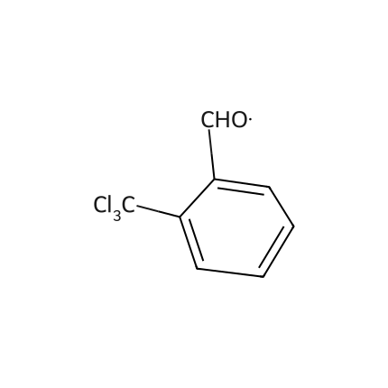 O=[C]c1ccccc1C(Cl)(Cl)Cl